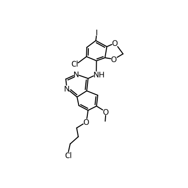 COc1cc2c(Nc3c(Cl)cc(I)c4c3OCO4)ncnc2cc1OCCCCl